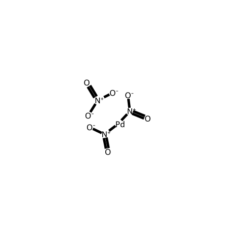 O=[N+]([O-])[O-].O=[N+]([O-])[Pd][N+](=O)[O-]